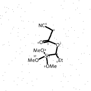 CCC(OC(=O)CC#N)[Si](OC)(OC)OC